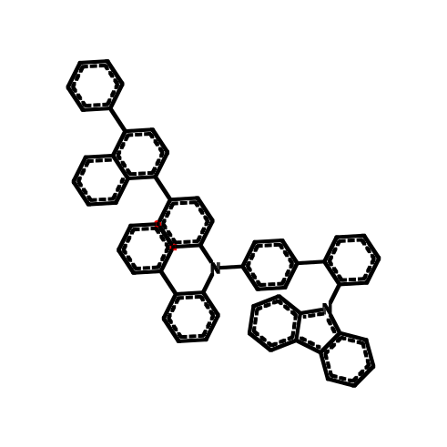 c1ccc(-c2ccccc2N(c2ccc(-c3ccccc3-n3c4ccccc4c4ccccc43)cc2)c2ccc(-c3ccc(-c4ccccc4)c4ccccc34)cc2)cc1